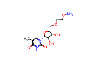 Cc1cn([C@@H]2O[C@H](COCCON)[C@@H](O)[C@H]2O)c(=O)[nH]c1=O